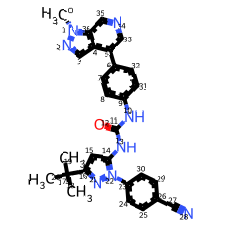 Cn1ncc2c(-c3ccc(NC(=O)Nc4cc(C(C)(C)C)nn4-c4ccc(C#N)cc4)cc3)cncc21